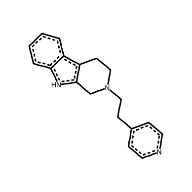 c1ccc2c3c([nH]c2c1)CN(CCc1ccncc1)CC3